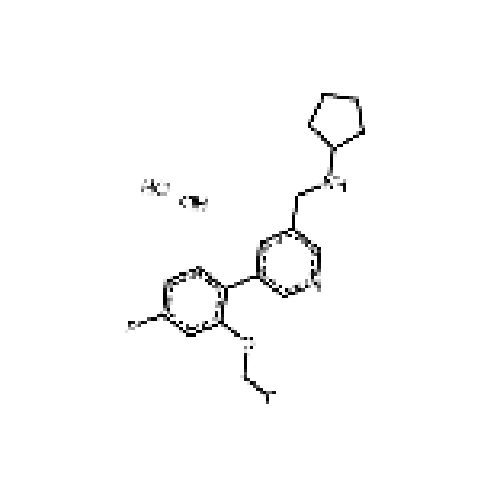 Cl.Cl.FCOc1cc(F)ccc1-c1cncc(CNC2CCCC2)c1